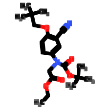 CCOC(=O)CN(C(=O)OC(C)(C)C)c1ccc(OCC(C)(C)C)c(C#N)c1